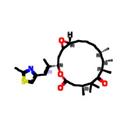 C/C(=C\c1csc(C)n1)[C@@H]1CC2O[C@@H]2CCC[C@H](C)[C@H](C)[C@@H](C)C(=O)C(C)(C)[C@@H](C)CC(=O)O1